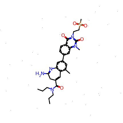 CCCN(CCC)C(=O)C1=Cc2c(C)cc(-c3ccc4c(=O)n(CCS(C)(=O)=O)c(=O)n(C)c4c3)cc2N=C(N)C1